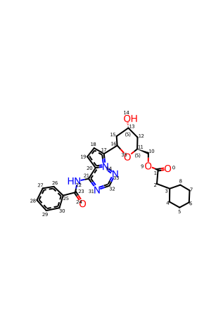 O=C(CC1CCCCC1)OC[C@@H]1C[C@@H](O)CC(c2ccc3c(NC(=O)c4ccccc4)ncnn23)O1